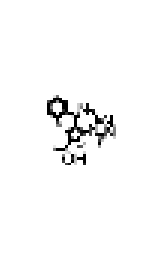 Cc1ccccc1C1=NCc2nnc(C)n2-c2sc(C(C)O)cc21